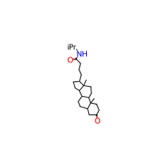 CC(C)NC(=O)CCCC1CCC2C3CCC4CC(=O)CCC4(C)C3CCC12C